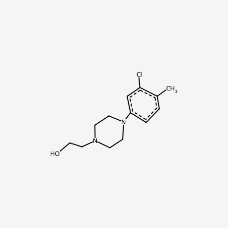 Cc1ccc(N2CCN(CCO)CC2)cc1Cl